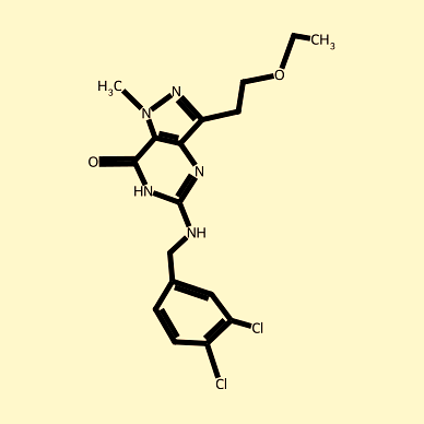 CCOCCc1nn(C)c2c(=O)[nH]c(NCc3ccc(Cl)c(Cl)c3)nc12